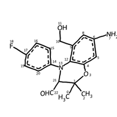 CC1(C)Oc2cc(N)cc(CO)c2N(c2ccc(F)cc2)C1C=O